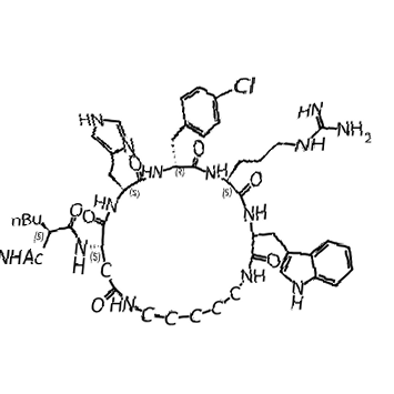 CCCC[C@H](NC(C)=O)C(=O)N[C@H]1CC(=O)NCCCCCNC(=O)C(Cc2c[nH]c3ccccc23)NC(=O)[C@H](CCCNC(=N)N)NC(=O)[C@@H](Cc2ccc(Cl)cc2)NC(=O)[C@H](Cc2c[nH]cn2)NC1=O